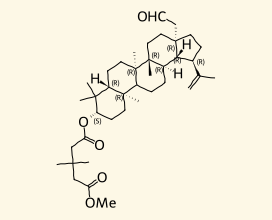 C=C(C)[C@@H]1CC[C@]2(CC=O)CC[C@]3(C)[C@H](CCC4[C@@]5(C)CC[C@H](OC(=O)CC(C)(C)CC(=O)OC)C(C)(C)[C@@H]5CC[C@]43C)[C@@H]12